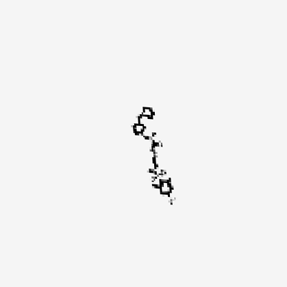 COc1cc(C)c(S(=O)(=O)N(C)CCOCC(=O)N(C)C[C@H]2CCC(CN3CCCC3)C2)c(C)c1